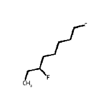 CCC(F)CCCCCF